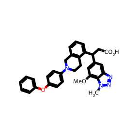 COc1cc(C(CC(=O)O)c2cccc3c2CCN(c2ccc(Oc4ccccc4)cc2)C3)cc2nnn(C)c12